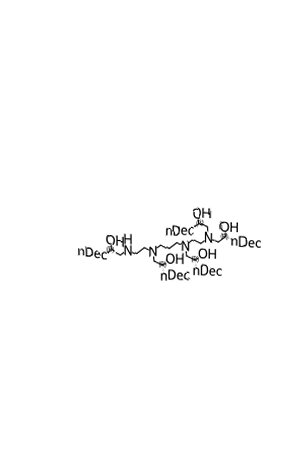 CCCCCCCCCC[C@@H](O)CNCCN(CCCN(CCN(C[C@H](O)CCCCCCCCCC)C[C@H](O)CCCCCCCCCC)C[C@H](O)CCCCCCCCCC)C[C@H](O)CCCCCCCCCC